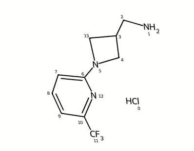 Cl.NCC1CN(c2cccc(C(F)(F)F)n2)C1